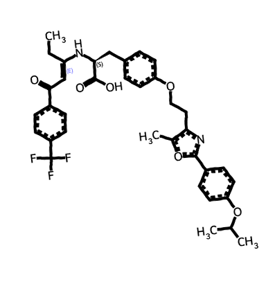 CC/C(=C\C(=O)c1ccc(C(F)(F)F)cc1)N[C@@H](Cc1ccc(OCCc2nc(-c3ccc(OC(C)C)cc3)oc2C)cc1)C(=O)O